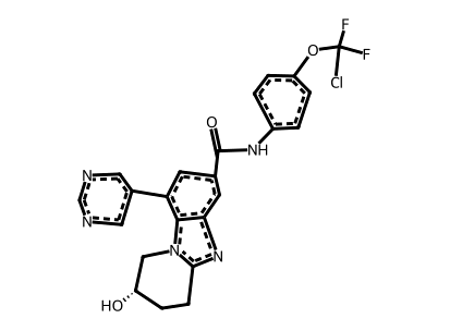 O=C(Nc1ccc(OC(F)(F)Cl)cc1)c1cc(-c2cncnc2)c2c(c1)nc1n2C[C@@H](O)CC1